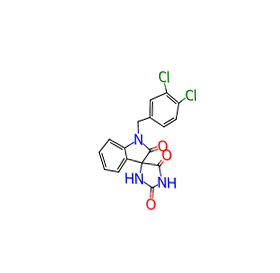 O=C1NC(=O)C2(N1)C(=O)N(Cc1ccc(Cl)c(Cl)c1)c1ccccc12